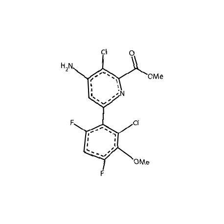 COC(=O)c1nc(-c2c(F)cc(F)c(OC)c2Cl)cc(N)c1Cl